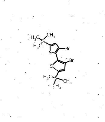 CS(C)(C)c1cc(Br)c(-c2sc(S(C)(C)C)cc2Br)s1